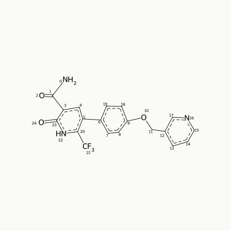 NC(=O)c1cc(-c2ccc(OCc3cccnc3)cc2)c(C(F)(F)F)[nH]c1=O